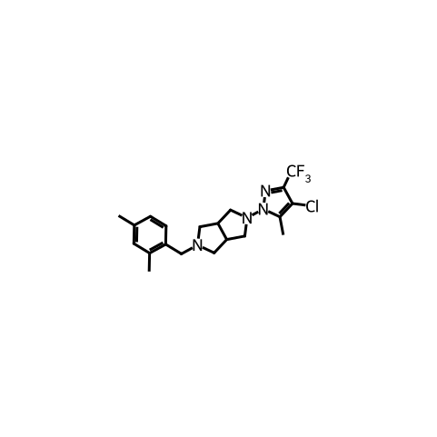 Cc1ccc(CN2CC3CN(n4nc(C(F)(F)F)c(Cl)c4C)CC3C2)c(C)c1